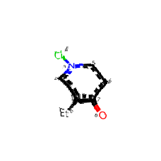 CCc1cn(Cl)ccc1=O